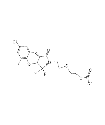 Cc1cc(Cl)cc2c1OC(C(F)(F)F)C(C(=O)OCCSCCO[N+](=O)[O-])=C2